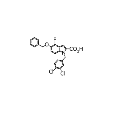 O=C(O)c1cc2c(F)c(OCc3ccccc3)ccc2n1Cc1ccc(Cl)c(Cl)c1